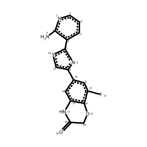 Nc1ncccc1-c1nc(-c2cc(F)c3c(c2)NC(=O)CO3)cs1